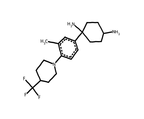 Cc1cc(C2(N)CCC(N)CC2)ccc1N1CCC(C(F)(F)F)CC1